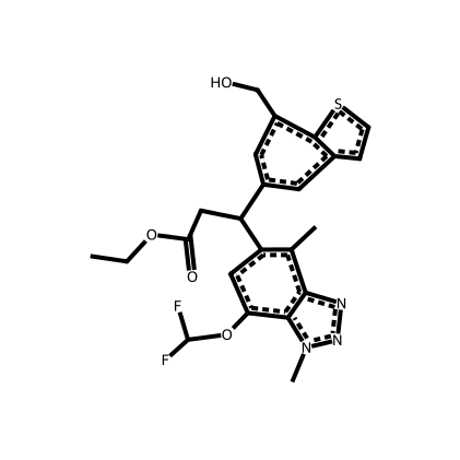 CCOC(=O)CC(c1cc(CO)c2sccc2c1)c1cc(OC(F)F)c2c(nnn2C)c1C